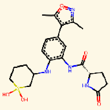 Cc1noc(C)c1-c1ccc(NC2CCCS(O)(O)C2)c(NC(=O)[C@@H]2CCC(=O)N2)c1